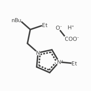 CCCCC(CC)Cn1cc[n+](CC)c1.O=C([O-])[O-].[H+]